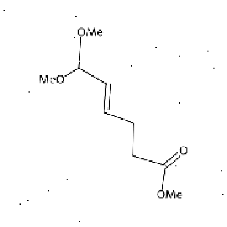 COC(=O)CC/C=C/C(OC)OC